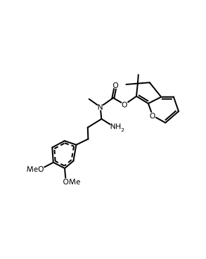 COc1ccc(CCC(N)N(C)C(=O)OC2=C3OC=CC=C3CC2(C)C)cc1OC